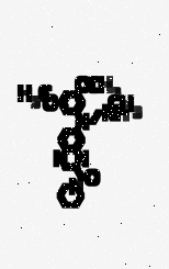 CNCCN(c1cc(OC)cc(OC)c1)c1ccc2ncc(C(=O)N3CCCCC3)nc2c1